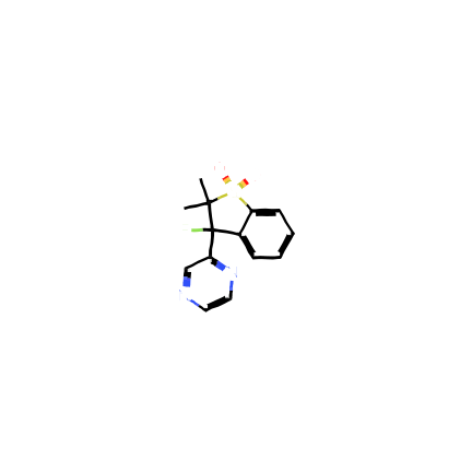 CC1(C)C(F)(c2cnccn2)c2ccccc2S1(=O)=O